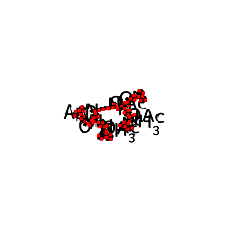 CC(=O)ON=C(CC(C)n1c2ccccc2c2ccccc21)c1ccc(-n2c3ccc(C(=O)c4ccc(-n5c6ccccc6c6ccccc65)cc4)cc3c3cc(/C(CCCCCCCC/C(=N/OC(C)=O)c4ccc5c(c4)c4cc(C(=O)c6ccc(-n7c8ccccc8c8ccccc87)cc6)ccc4n5-c4ccc(C(CC(C)n5c6ccccc6c6ccccc65)=NOC(C)=O)cc4)=N\OC(C)=O)ccc32)cc1